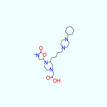 CN1CC(N2CCN(CC(=O)O)CC2CCCCN2CCN(C3CCCCC3)CC2)OC1=O